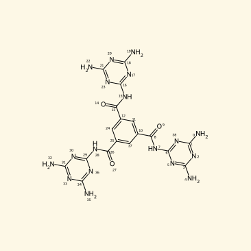 Nc1nc(N)nc(NC(=O)c2cc(C(=O)Nc3nc(N)nc(N)n3)cc(C(=O)Nc3nc(N)nc(N)n3)c2)n1